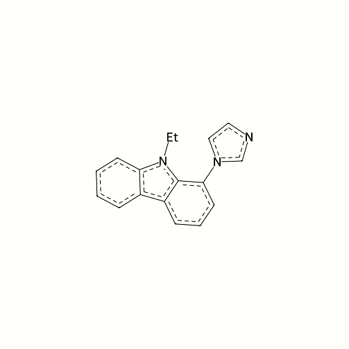 CCn1c2ccccc2c2cccc(-n3ccnc3)c21